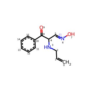 C=CCNC(/C=N/O)C(=O)c1ccccc1